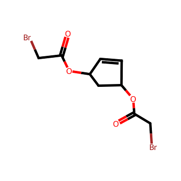 O=C(CBr)OC1C=CC(OC(=O)CBr)C1